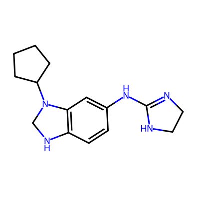 c1cc2c(cc1NC1=NCCN1)N(C1CCCC1)CN2